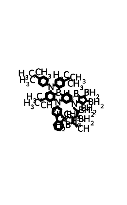 BC1=C(B)C(B)C(B)=C1N(C/C(B)=C(B)\C(B)=C(\B)C#C)c1ccc2c(c1)N(c1ccc3c(c1)C(C)(C)c1ccccc1-3)c1cc(C(C)(C)C)cc3c1B2c1cc(C(C)(C)C)ccc1N3c1ccc(C(C)(C)C)cc1